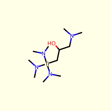 CN(C)CC(O)[CH2][Ti]([N](C)C)([N](C)C)[N](C)C